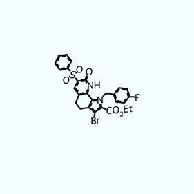 CCOC(=O)c1c(Br)c2c(n1Cc1ccc(F)cc1)-c1[nH]c(=O)c(S(=O)(=O)c3ccccc3)cc1CC2